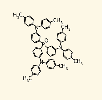 Cc1ccc(N(c2ccc(C)cc2)c2cccc(P(=O)(c3cccc(N(c4ccc(C)cc4)c4ccc(C)cc4)c3)c3cccc(N(c4ccc(C)cc4)c4ccc(C)cc4)c3)c2)cc1